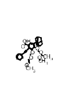 COCCOCOc1c(C#Cc2ccccc2)c(C(=O)O)cc(C23CC4CC(CC(C4)C2)C3)c1OCOC(C)OC